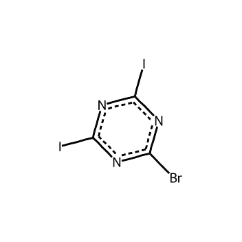 Brc1nc(I)nc(I)n1